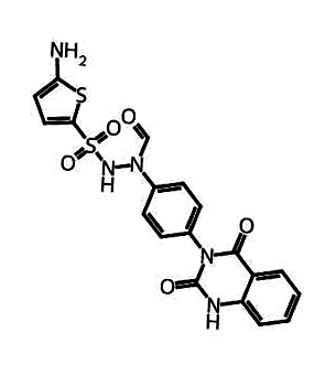 Nc1ccc(S(=O)(=O)NN(C=O)c2ccc(-n3c(=O)[nH]c4ccccc4c3=O)cc2)s1